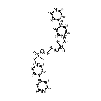 C[Si](C)(C[n+]1ccc(-c2ccncc2)cc1)OCCO[Si](C)(C)C[n+]1ccc(-c2ccncc2)cc1